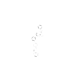 CC(C)(C)C(CC(=O)O)(NC(=O)c1cccc(N2CCC(CNc3ncccn3)CC2)c1)NS(=O)(=O)c1ccccc1